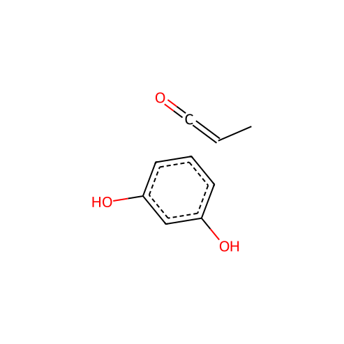 CC=C=O.Oc1cccc(O)c1